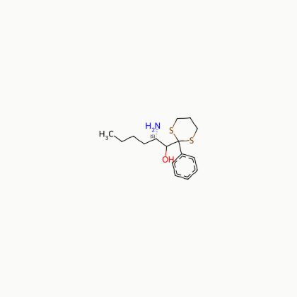 CCCC[C@H](N)C(O)C1(c2ccccc2)SCCCS1